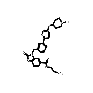 CCCNC(=O)c1ccc2oc(=O)n(Cc3cccc(-c4ccc(OC5CCN(C)CC5)nn4)c3)c2c1